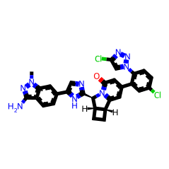 Cn1nc(N)c2ccc(-c3cnc([C@@H]4[C@H]5CC[C@H]5c5cc(-c6cc(Cl)ccc6-n6cc(Cl)nn6)cc(=O)n54)[nH]3)cc21